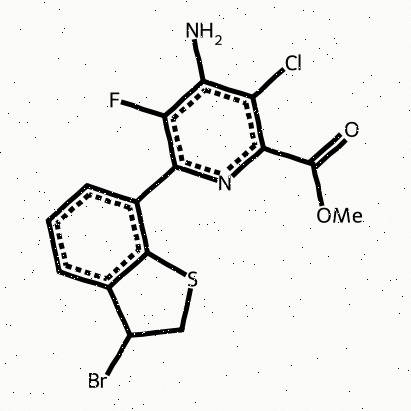 COC(=O)c1nc(-c2cccc3c2SCC3Br)c(F)c(N)c1Cl